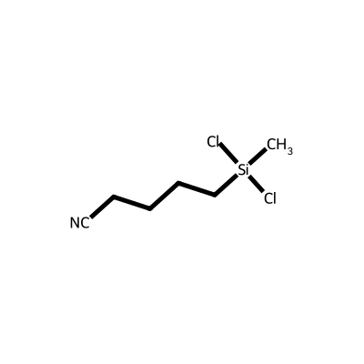 C[Si](Cl)(Cl)CCCCC#N